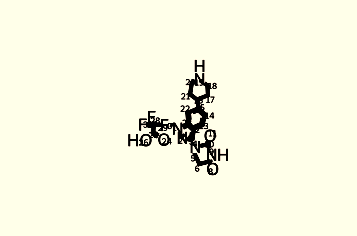 Cn1nc(N2CCC(=O)NC2=O)c2ccc(C3CCNCC3)cc21.O=C(O)C(F)(F)F